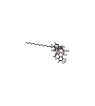 CCCCCCCCCCCCCCCC(=O)N[C@H]1CS[C@@H]2c3c(OC(C)=O)c(C)c4c(c3[C@H](COC1=O)N1[C@@H]2[C@H]2c3c(cc(C)c(OC)c3O)C[C@@H]([C@@H]1O)N2C)OCO4